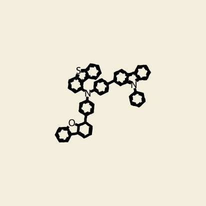 C1=CC(c2ccc(N(c3ccc(-c4ccc5c6ccccc6n(-c6ccccc6)c5c4)cc3)c3cccc4sc5ccccc5c34)cc2)C2Oc3ccccc3C2=C1